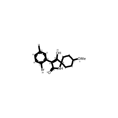 COC1CCC2(CC1)NC(=O)C(c1cc(C)ccc1Br)=C2O